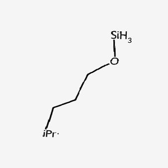 C[C](C)CCCO[SiH3]